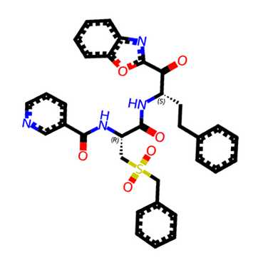 O=C(N[C@@H](CS(=O)(=O)Cc1ccccc1)C(=O)N[C@@H](CCc1ccccc1)C(=O)c1nc2ccccc2o1)c1cccnc1